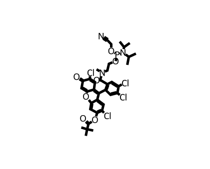 CC(C)N(C(C)C)P(OCC#N)OCCN(C)C(=O)c1cc(Cl)c(Cl)cc1-c1c2cc(Cl)c(=O)cc-2oc2cc(OC(=O)C(C)(C)C)c(Cl)cc12